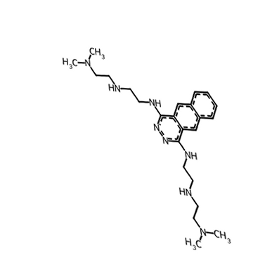 CN(C)CCNCCNc1nnc(NCCNCCN(C)C)c2cc3ccccc3cc12